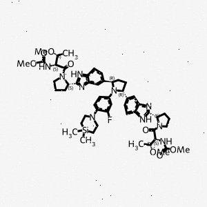 COC(=O)N[C@H](C(=O)N1CCC[C@H]1c1nc2cc([C@H]3CC[C@H](c4ccc5[nH]c([C@@H]6CCCN6C(=O)[C@@H](NC(=O)OC)[C@@H](C)OC)nc5c4)N3c3ccc(N4CC[Si](C)(C)CC4)c(F)c3)ccc2[nH]1)[C@@H](C)OC